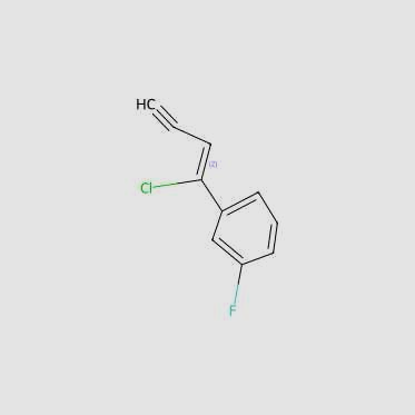 C#C/C=C(\Cl)c1cccc(F)c1